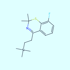 CC1(C)N=C(CC[Si](C)(C)C)c2cccc(F)c2S1